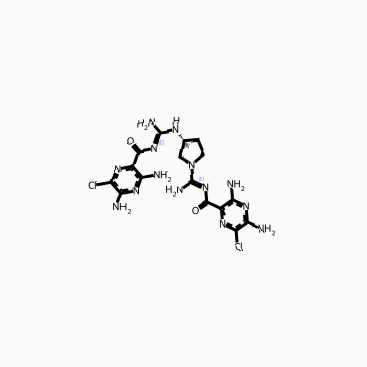 N/C(=N\C(=O)c1nc(Cl)c(N)nc1N)N[C@@H]1CCN(/C(N)=N/C(=O)c2nc(Cl)c(N)nc2N)C1